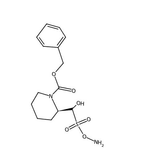 NOS(=O)(=O)C(O)[C@H]1CCCCN1C(=O)OCc1ccccc1